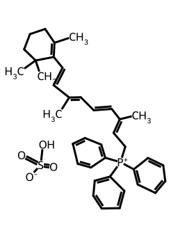 CC(C=CC1=C(C)CCCC1(C)C)=CC=CC(C)=CC[P+](c1ccccc1)(c1ccccc1)c1ccccc1.O=S(=O)([O-])O